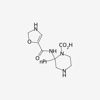 CCCC1(NC(=O)C2=CNCO2)CNCCN1C(=O)O